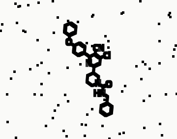 N#Cc1c(Cl)cc(C2CCCN(C(=O)NCc3ccccc3)C2)nc1-c1ccc(Oc2ccccc2)cc1